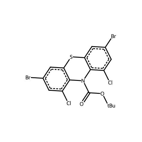 CC(C)(C)OC(=O)N1c2c(Cl)cc(Br)cc2Sc2cc(Br)cc(Cl)c21